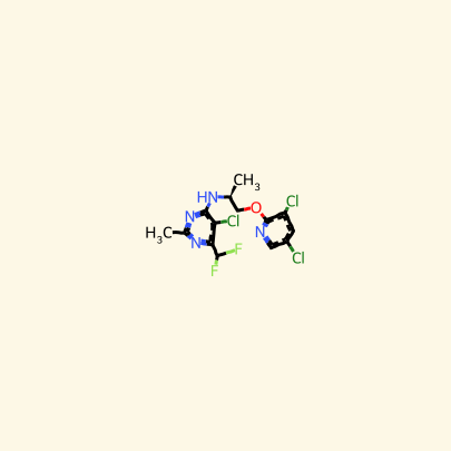 Cc1nc(N[C@@H](C)COc2ncc(Cl)cc2Cl)c(Cl)c(C(F)F)n1